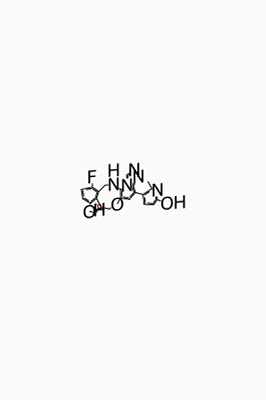 Cc1nc(O)ccc1-c1cc2c(n3cnnc13)NCc1c(F)ccc3c1[C@H](CO3)CO2